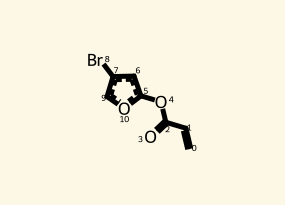 C=CC(=O)Oc1cc(Br)co1